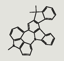 Cn1c2cccc3c4cc5c(c6c7ccccc7n(c7cccc1c7c32)c46)-c1ccccc1C5(C)C